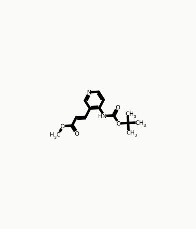 COC(=O)/C=C/c1cnccc1NC(=O)OC(C)(C)C